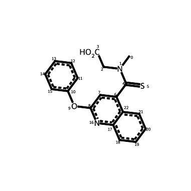 CN(CC(=O)O)C(=S)c1cc(Oc2ccccc2)nc2ccccc12